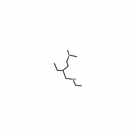 CCNCC(CC)CCN(C)C